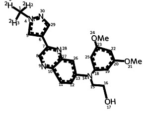 [2H]C([2H])([2H])n1cc(-c2cnc3ccc(N(CCO)c4cc(OC)cc(OC)c4)cc3n2)cn1